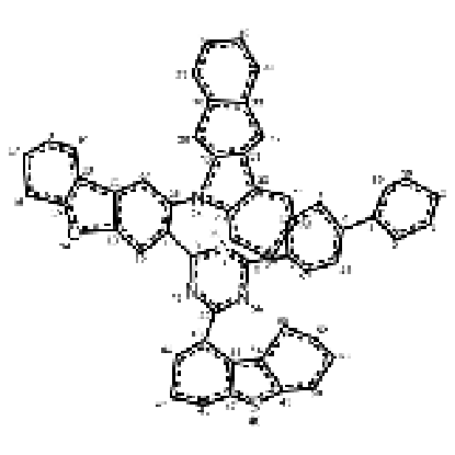 c1ccc(-c2ccc(-c3nc(-c4cc5oc6ccccc6c5cc4-n4c5ccccc5c5cc6ccccc6cc54)nc(-c4cccc5sc6ccccc6c45)n3)cc2)cc1